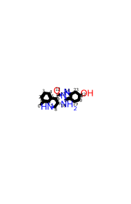 Cc1cccc2c1NCC[C@H]2C(=O)n1nc2c(c1N)CC[C@@H](O)C2